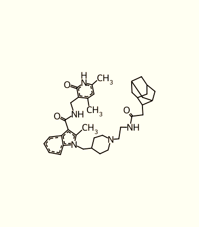 Cc1cc(C)c(CNC(=O)c2c(C)n(CC3CCN(CCNC(=O)CC4C5CC6CC(C5)CC4C6)CC3)c3ccccc23)c(=O)[nH]1